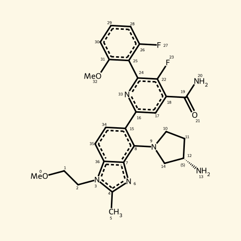 COCCn1c(C)nc2c(N3CC[C@H](N)C3)c(-c3cc(C(N)=O)c(F)c(-c4c(F)cccc4OC)n3)ccc21